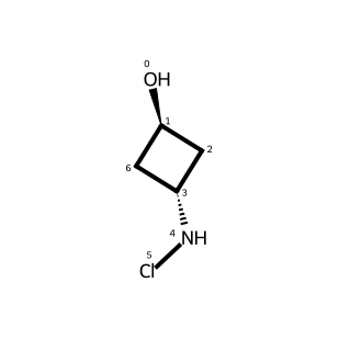 O[C@H]1C[C@H](NCl)C1